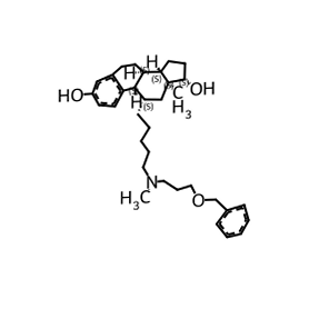 CN(CCCCC[C@H]1C[C@]2(C)[C@@H](O)CC[C@H]2[C@@H]2CCc3cc(O)ccc3[C@@H]12)CCCOCc1ccccc1